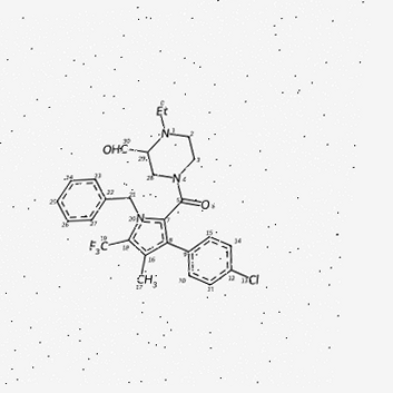 CCN1CCN(C(=O)c2c(-c3ccc(Cl)cc3)c(C)c(C(F)(F)F)n2Cc2ccccc2)CC1C=O